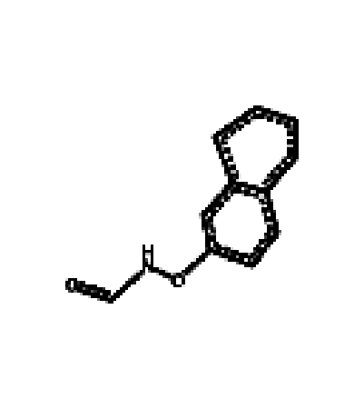 O=CNOc1ccc2ccccc2c1